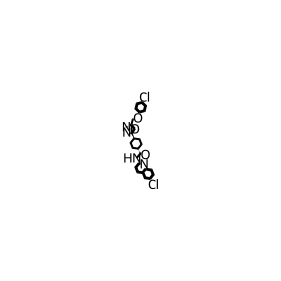 O=C(Nc1ccc2cc(Cl)ccc2n1)[C@H]1CC[C@H](c2nnc(COc3ccc(Cl)cc3)o2)CC1